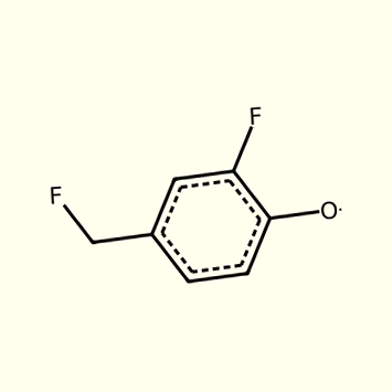 [O]c1ccc(CF)cc1F